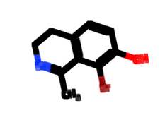 CC1=NCCc2ccc(O)c(Br)c21